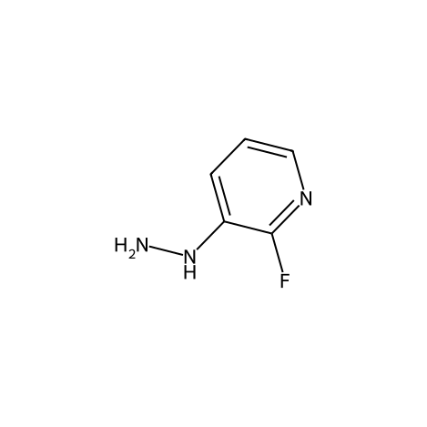 NNc1cccnc1F